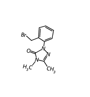 Cc1nn(-c2ccccc2CBr)c(=O)n1C